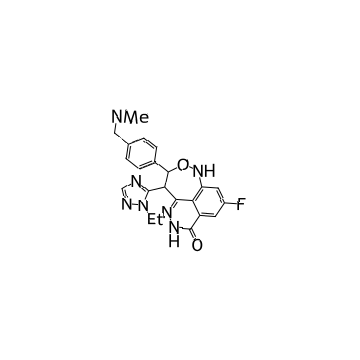 CCn1ncnc1C1c2n[nH]c(=O)c3cc(F)cc(c23)NOC1c1ccc(CNC)cc1